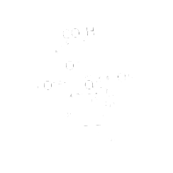 CC1CCC2(C(=O)OCC(=O)O)OC(=O)C1C2(C)C